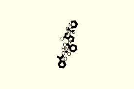 Cc1c(OC(=O)NC2(C(=O)N3CCC4C3C(=O)CN4S(=O)(=O)c3ccccn3)CCCCC2)oc2ccccc12